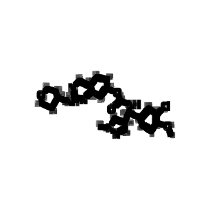 COc1ccc([C@H](NC(=O)Oc2ccc3cnc(NC4CCOCC4)nc3c2)c2cnn(C)c2)cc1Cl